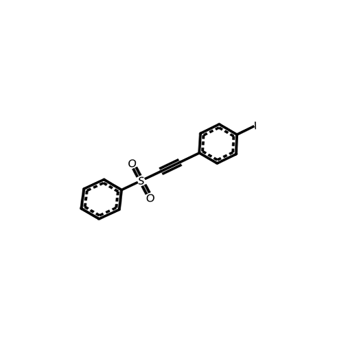 O=S(=O)(C#Cc1ccc(I)cc1)c1ccccc1